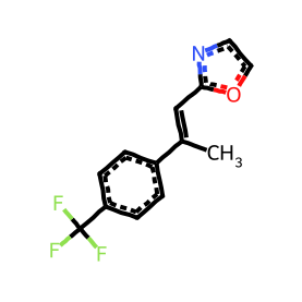 CC(=Cc1ncco1)c1ccc(C(F)(F)F)cc1